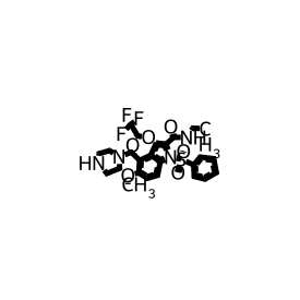 CCNC(=O)c1c(OC(=O)C(F)(F)F)c2c(CN3CCNCC3)c(OC)ccc2n1S(=O)(=O)c1ccccc1